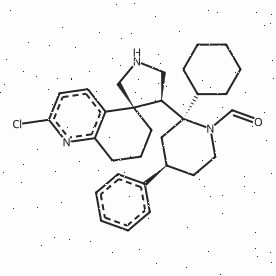 O=CN1CC[C@@H](c2ccccc2)C[C@@]1(C1CCCCC1)[C@@H]1CNC[C@]12CCCc1nc(Cl)ccc12